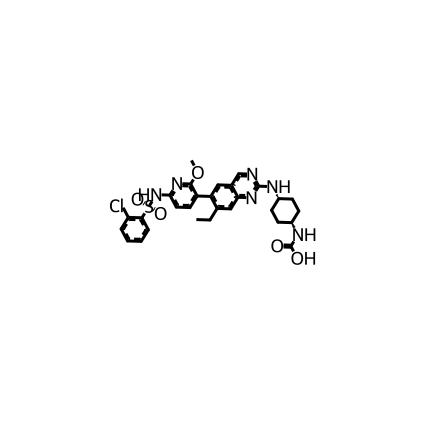 CCc1cc2nc(N[C@H]3CC[C@H](NC(=O)O)CC3)ncc2cc1-c1ccc(NS(=O)(=O)c2ccccc2Cl)nc1OC